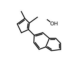 CC1=CCC(c2ccc3ccccc3c2)=C1C.CO